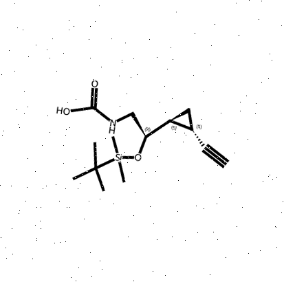 C#C[C@H]1C[C@@H]1[C@H](CNC(=O)O)O[Si](C)(C)C(C)(C)C